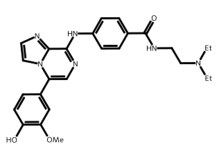 CCN(CC)CCNC(=O)c1ccc(Nc2ncc(-c3ccc(O)c(OC)c3)n3ccnc23)cc1